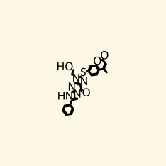 Cc1cc(=O)oc2cc(Sc3nc4c(=O)n5cc(-c6ccccc6)[nH]c5nc4n3CCO)ccc12